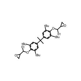 CCC(Oc1c(C(C)(C)C)cc(C(C)(C)c2cc(C(C)(C)C)c(OC(CC)C3CO3)c(C(C)(C)C)c2)cc1C(C)(C)C)C1CO1